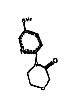 CNc1ccc(N2CCOCC2=O)nc1